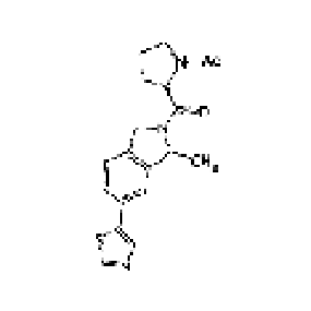 CC(=O)N1CCCC1C(=O)N1Cc2ccc(-c3cncs3)cc2C1C